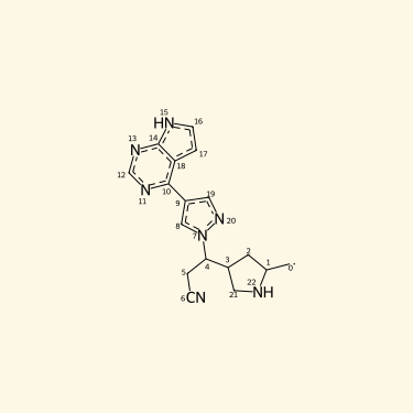 [CH2]C1CC(C(CC#N)n2cc(-c3ncnc4[nH]ccc34)cn2)CN1